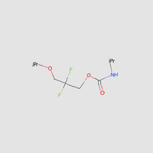 CC(C)NC(=O)OCC(F)(F)COC(C)C